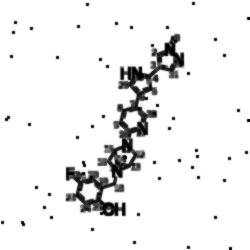 Cn1cc(-c2cc(-c3ccc(N4CC5CC4CN5Cc4cc(F)ccc4O)nc3)c[nH]2)cn1